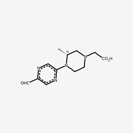 C[C@@H]1CN(CC(=O)O)CCN1c1cnc(C=O)cn1